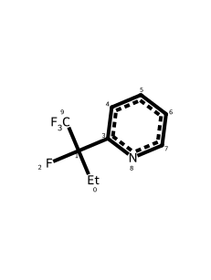 CCC(F)(c1ccccn1)C(F)(F)F